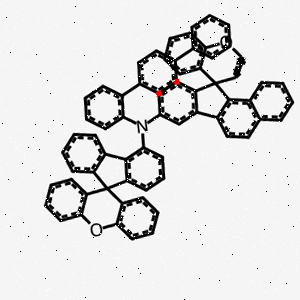 c1ccc(-c2ccc(-c3ccccc3N(c3ccc4c(c3)-c3ccc5ccccc5c3C43c4ccccc4Oc4ccccc43)c3cccc4c3-c3ccccc3C43c4ccccc4Oc4ccccc43)cc2)cc1